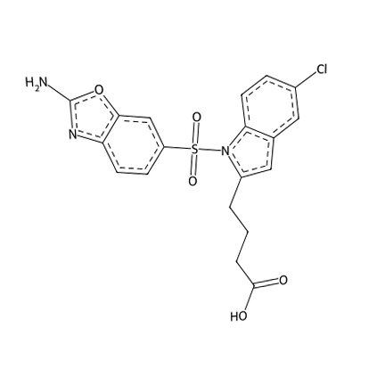 Nc1nc2ccc(S(=O)(=O)n3c(CCCC(=O)O)cc4cc(Cl)ccc43)cc2o1